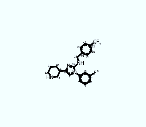 Fc1cccc(-n2cc(C3CCCNC3)nc2NCc2ccc(C(F)(F)F)cc2)c1